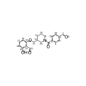 O=Cc1ccc(C(=O)N2CCCC(COc3cccc(O)c3C=O)C2)cc1